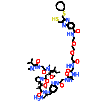 CC[C@H](C)[C@@H]([C@@H](CC(=O)N1CCC[C@H]1[C@H](OC)[C@@H](C)C(=O)N[C@H](CN)Cc1ccc(NC(=O)CNC(=O)[C@H](C)NC(=O)CNC(=O)CCOCCOCCNC(=O)c2ccc3nc(CSC4CCCCCCC4)c(CS)nc3c2)cc1)OC)N(C)C(=O)CNC(=O)C(C(C)C)N(C)C